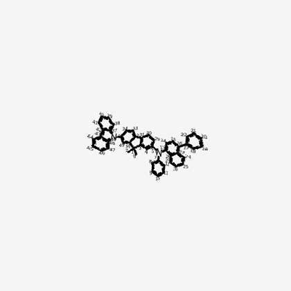 CC1(C)c2cc(N(c3ccccc3)c3ccc(-c4ccccc4)c4ccccc34)ccc2-c2ccc(-n3c4ccccc4c4ccccc43)cc21